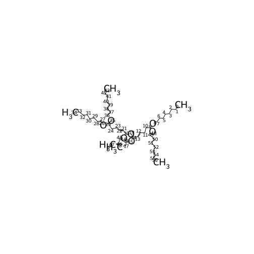 CCCCCCCCOC(CCC=CC(OCCC)OC(C=CCCC(OCCCCCCCC)OCCCCCCCC)OCCC)OCCCCCCCC